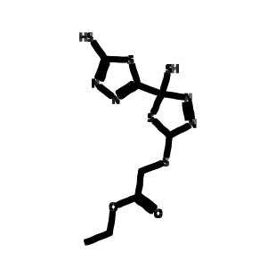 CCOC(=O)CSC1N=NC(S)(c2nnc(S)s2)S1